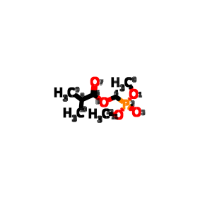 COP(=O)(COC(=O)C(C)C)OC